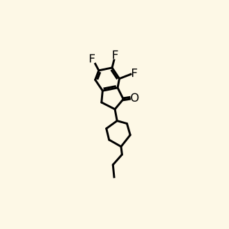 CCCC1CCC(C2Cc3cc(F)c(F)c(F)c3C2=O)CC1